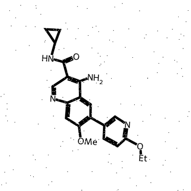 CCOc1ccc(-c2cc3c(N)c(C(=O)NC4CC4)cnc3cc2OC)cn1